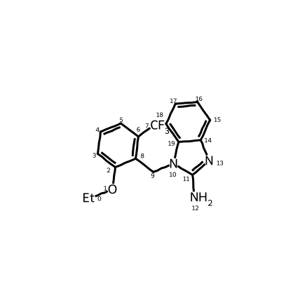 CCOc1cccc(C(F)(F)F)c1Cn1c(N)nc2ccccc21